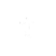 C=CCC(=O)[SiH2]S